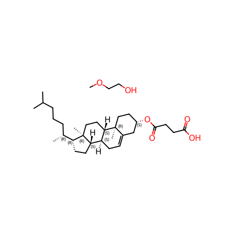 CC(C)CCC[C@@H](C)[C@H]1CC[C@H]2[C@@H]3CC=C4C[C@@H](OC(=O)CCC(=O)O)CC[C@]4(C)[C@H]3CC[C@]12C.COCCO